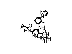 [2H]C([2H])([2H])NC(=O)c1nnc(NC(=O)C2CC2)cc1Nc1cccc(-n2cccn2)c1C